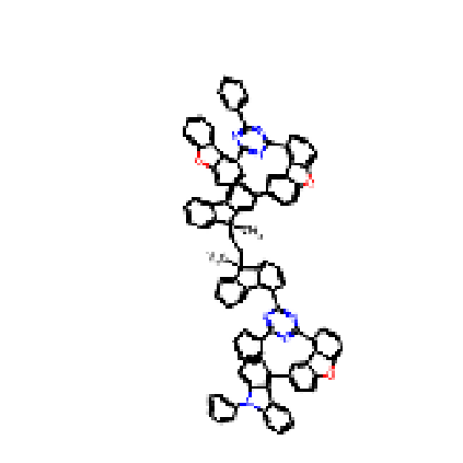 CC1(CCC2(C)c3ccccc3-c3c(-c4nc(-c5ccccc5)nc(-c5cccc6oc7ccc(-c8cccc9c8c8ccccc8n9-c8ccccc8)cc7c56)n4)cccc32)c2ccccc2-c2ccc(-c3ccc4oc5cccc(-c6nc(-c7ccccc7)nc(-c7cccc8oc9ccccc9c78)n6)c5c4c3)cc21